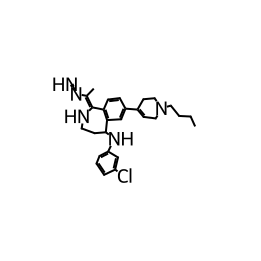 CCCCN1CC=C(c2ccc3c(c2)C(Nc2cccc(Cl)c2)CCN/C3=C(/C)N=N)CC1